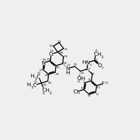 CC(=O)N[C@@H](Cc1cc(Cl)ccc1F)[C@H](O)CN[C@H]1CC2(CCC2)Oc2ncc(CC(C)(C)C)cc21